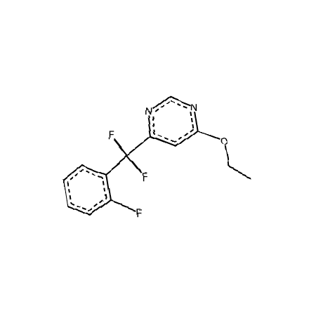 CCOc1cc(C(F)(F)c2ccccc2F)ncn1